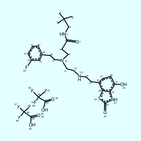 CC(C)(C)CNC(=O)CCN(CCNCCc1ccc(O)c2[nH]c(=O)sc12)CCc1cccc(F)c1.O=C(O)C(F)(F)F.O=C(O)C(F)(F)F